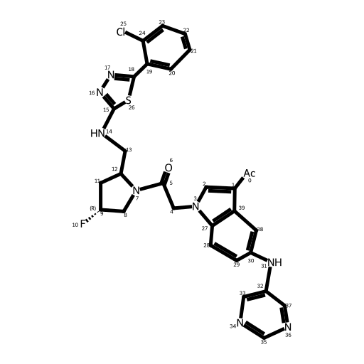 CC(=O)c1cn(CC(=O)N2C[C@H](F)CC2CNc2nnc(-c3ccccc3Cl)s2)c2ccc(Nc3cncnc3)cc12